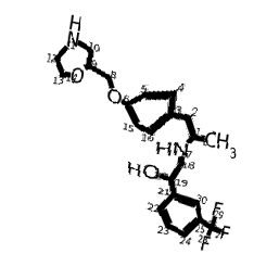 CC(Cc1ccc(OCC2CNCCO2)cc1)NCC(O)c1cccc(C(F)(F)F)c1